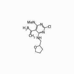 BC(=C)c1c(NC)nc(Cl)nc1NCC1CCCO1